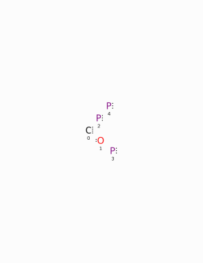 [C].[O].[P].[P].[P]